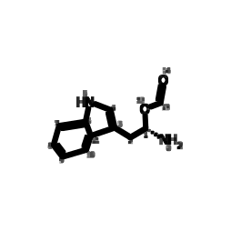 N[C@H](Cc1c[nH]c2ccccc12)OC=O